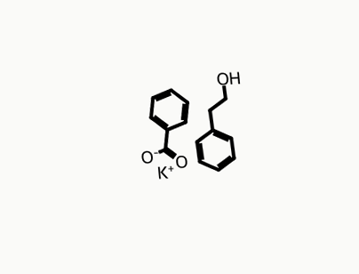 O=C([O-])c1ccccc1.OCCc1ccccc1.[K+]